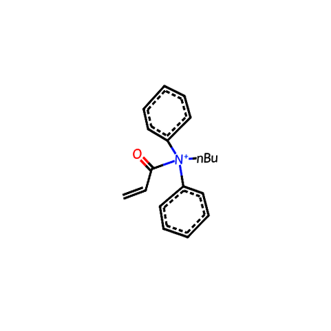 C=CC(=O)[N+](CCCC)(c1ccccc1)c1ccccc1